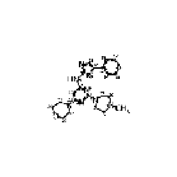 CN1CCN(c2nc(Nc3ncc(-c4ccncc4)s3)cc(N3CCOCC3)n2)CC1